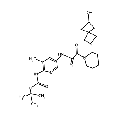 Cc1cc(NC(=O)C(=O)N2CCCC[C@H]2C2CC3(CC(O)C3)C2)cnc1NC(=O)OC(C)(C)C